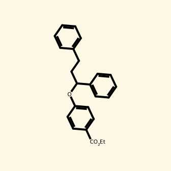 CCOC(=O)c1ccc(OC(CCc2ccccc2)c2ccccc2)cc1